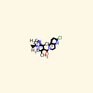 C=N/C(NC1(C)CC1)=C(\C)C(C(=O)N1CCc2nc(Cl)ccc2C1)=C(C)C